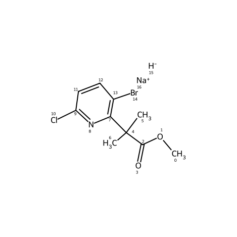 COC(=O)C(C)(C)c1nc(Cl)ccc1Br.[H-].[Na+]